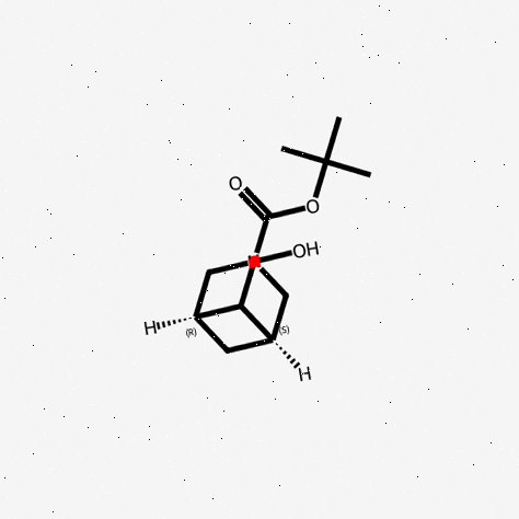 CC(C)(C)OC(=O)N1C[C@H]2C[C@@H](C1)C2CO